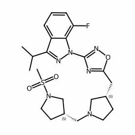 CC(C)c1nn(-c2noc(C[C@@H]3CCN(C[C@@H]4CCN(S(C)(=O)=O)C4)C3)n2)c2c(F)cccc12